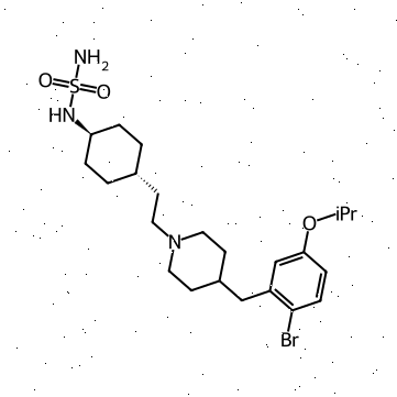 CC(C)Oc1ccc(Br)c(CC2CCN(CC[C@H]3CC[C@H](NS(N)(=O)=O)CC3)CC2)c1